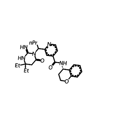 CCCC(c1cc(C(=O)N[C@H]2CCOc3ccccc32)ccn1)N1C(=N)NC(CC)(CC)CC1=O